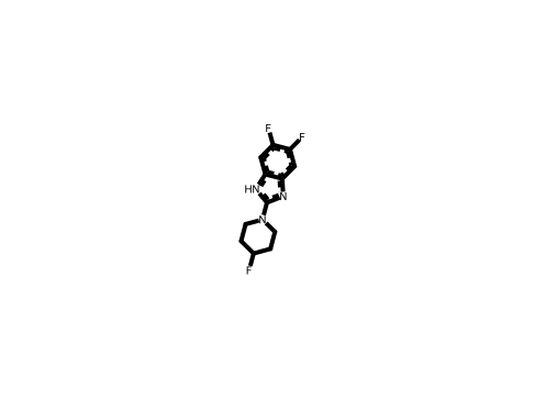 Fc1cc2nc(N3CCC(F)CC3)[nH]c2cc1F